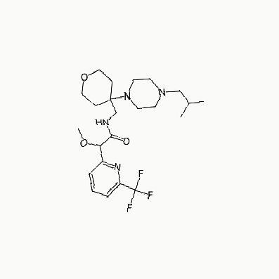 COC(C(=O)NCC1(N2CCN(CC(C)C)CC2)CCOCC1)c1cccc(C(F)(F)F)n1